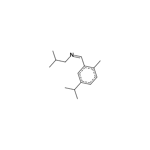 Cc1ccc(C(C)C)cc1/C=N\CC(C)C